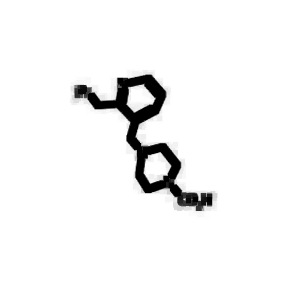 CC(C)Cc1ncccc1CN1CCN(C(=O)O)CC1